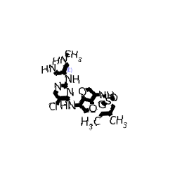 CCC(C)CS(=O)(=O)NC1COC2C(Nc3nc(N/C(C=N)=C/NC)ncc3Cl)COC12